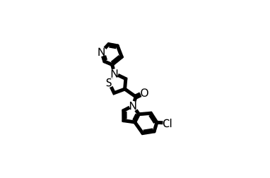 O=C(C1CSN(c2cccnc2)C1)n1ccc2ccc(Cl)cc21